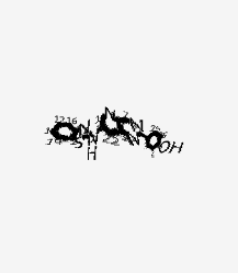 Oc1ccc(-c2ncc3ncc(Nc4nc5ccccc5s4)cc3n2)cc1